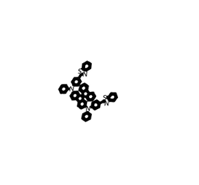 c1ccc(N(c2ccc(-c3nc4ccccc4s3)cc2)c2ccc3c(c2)C2(c4ccccc4-c4ccccc42)c2cc(N(c4ccccc4)c4ccc(-c5nc6ccccc6s5)cc4)ccc2-3)cc1